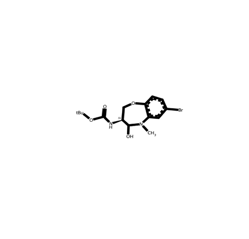 CN1c2cc(Br)ccc2OC[C@H](NC(=O)OC(C)(C)C)C1O